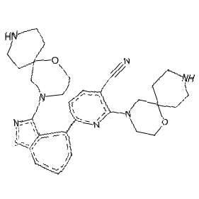 N#Cc1ccc(-c2cccc3snc(N4CCOC5(CCNCC5)C4)c23)nc1N1CCOC2(CCNCC2)C1